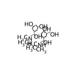 CC(C)(C)NCC(O)c1ccc(O)c(CO)c1.CC(C)NCC(O)c1cc(O)cc(O)c1